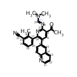 CC(=O)c1cc(-c2ccc3ncccc3c2)c(-c2cccc(C#N)c2C)nc1/N=C/N(C)C